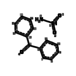 N[SH](=O)=O.O=C(c1ccccc1)c1ccccc1